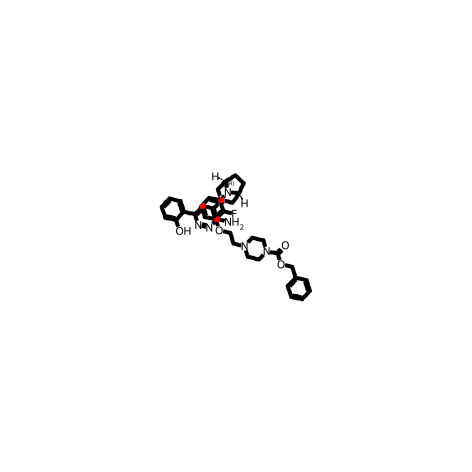 Nc1nnc(-c2ccccc2O)cc1N1C[C@H]2CC[C@@H](C1)N2c1cccc(OCCN2CCN(C(=O)OCc3ccccc3)CC2)c1F